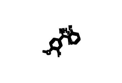 COc1ccc([C@H](N)c2ncccc2F)cc1F